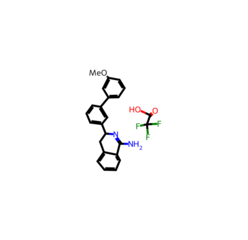 COc1cccc(-c2cccc(C3Cc4ccccc4C(N)=N3)c2)c1.O=C(O)C(F)(F)F